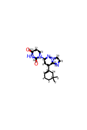 CC1(C)CCC=C(c2cc(-n3ccc(=O)[nH]c3=O)nn3ccnc23)C1